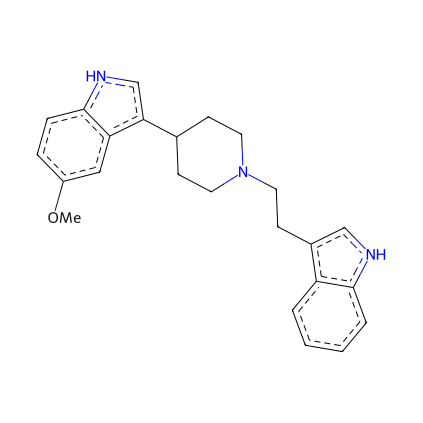 COc1ccc2[nH]cc(C3CCN(CCc4c[nH]c5ccccc45)CC3)c2c1